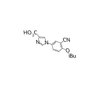 CCC(C)Oc1ccc(-n2cnc(C(=O)O)c2)cc1C#N